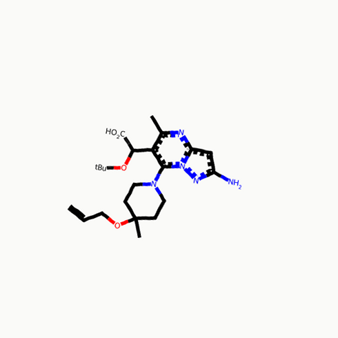 C=CCOC1(C)CCN(c2c(C(OC(C)(C)C)C(=O)O)c(C)nc3cc(N)nn23)CC1